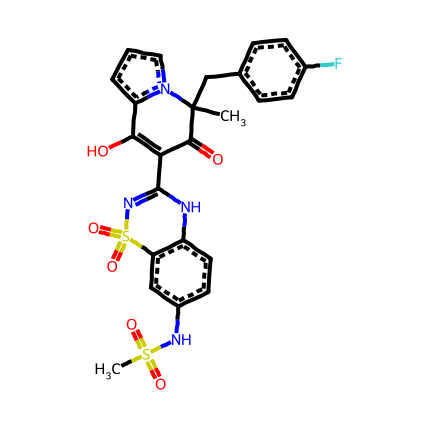 CC1(Cc2ccc(F)cc2)C(=O)C(C2=NS(=O)(=O)c3cc(NS(C)(=O)=O)ccc3N2)=C(O)c2cccn21